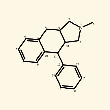 CN1CC2Cc3ccccc3C(c3ccccc3)C2C1